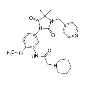 CC1(C)C(=O)N(c2ccc(OC(F)(F)F)c(NC(=O)CN3CCCCC3)c2)C(=O)N1Cc1ccncc1